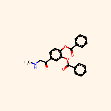 CNCC(=O)c1ccc(OC(=O)c2ccccc2)c(OC(=O)c2ccccc2)c1